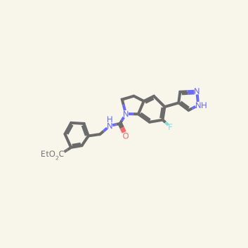 CCOC(=O)c1cccc(CNC(=O)N2CCc3cc(-c4cn[nH]c4)c(F)cc32)c1